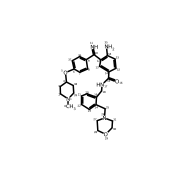 CN1CCC(Oc2ccc(C(=N)c3cc(C(=O)NCc4ccccc4CN4CCOCC4)ccc3N)cc2)CC1